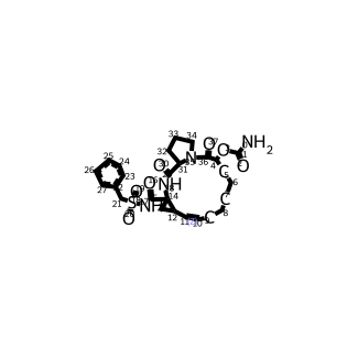 NC(=O)OC1CCCCC/C=C\C2CC2(C(=O)NS(=O)(=O)Cc2ccccc2)NC(=O)C2CCCN2C1=O